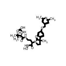 Cc1cc(COc2ccc(C3(C)CCN(C(CCNC(=O)[C@H](NC(=O)O)C(C)(C)C)C(=O)NO)C3=O)cc2)cc(C)n1